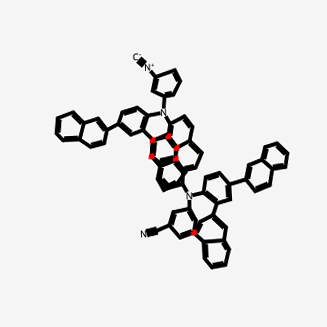 [C-]#[N+]c1cccc(N(C2=C3C=CC4=C5C(=CC=C(C=C2)C35)C(N(c2cccc(C#N)c2)c2ccc(-c3ccc5ccccc5c3)cc2-c2ccc3ccccc3c2)C=C4)c2ccc(-c3ccc4ccccc4c3)cc2-c2ccc3ccccc3c2)c1